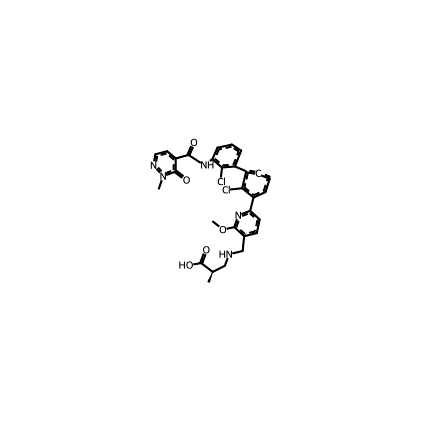 COc1nc(-c2cccc(-c3cccc(NC(=O)c4ccnn(C)c4=O)c3Cl)c2Cl)ccc1CNC[C@@H](C)C(=O)O